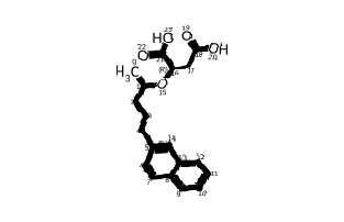 CC(CCCc1ccc2ccccc2c1)O[C@H](CC(=O)O)C(=O)O